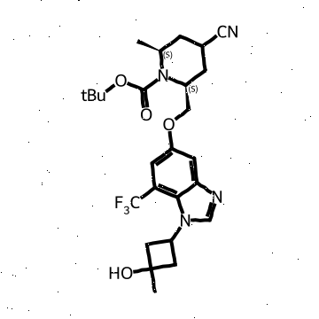 C[C@H]1CC(C#N)C[C@@H](COc2cc(C(F)(F)F)c3c(c2)ncn3C2CC(C)(O)C2)N1C(=O)OC(C)(C)C